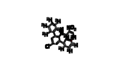 [2H]c1c([2H])c([2H])c(-c2cc(Cl)cc(-c3c([2H])c([2H])c([2H])c([2H])c3[2H])c2Nc2ccccc2[N+](=O)[O-])c([2H])c1[2H]